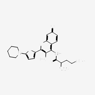 CCCCCCCCCCCCC(NC)C(=O)Nc1c2ccc(=O)cc-2oc(-c2ccc(N3CCCCC3)s2)c1O